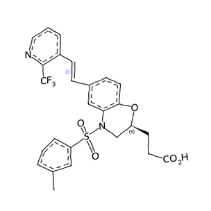 Cc1cccc(S(=O)(=O)N2C[C@H](CCC(=O)O)Oc3ccc(/C=C/c4cccnc4C(F)(F)F)cc32)c1